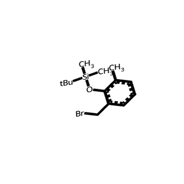 Cc1cccc(CBr)c1O[Si](C)(C)C(C)(C)C